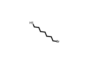 SCCCCCCCBr